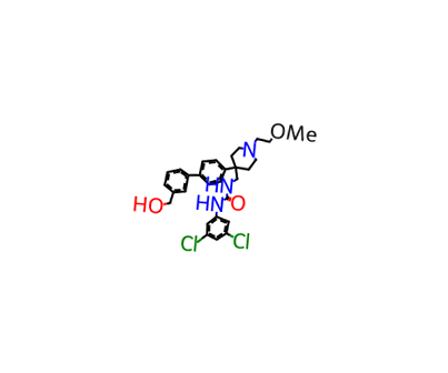 COCCN1CCC(CNC(=O)Nc2cc(Cl)cc(Cl)c2)(c2ccc(-c3cccc(CO)c3)cc2)CC1